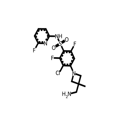 CC1(CN)CN(c2cc(F)c(S(=O)(=O)Nc3cccc(F)n3)c(F)c2Cl)C1